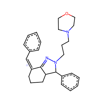 C(=C1\CCCC2C1=NN(CCCN1CCOCC1)C2c1ccccc1)/c1ccccc1